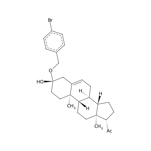 CC(=O)[C@H]1CC[C@H]2[C@@H]3CC=C4C[C@@](O)(OCc5ccc(Br)cc5)CC[C@]4(C)[C@H]3CC[C@]12C